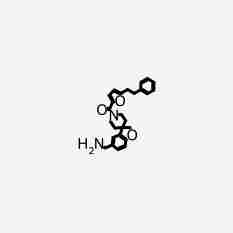 NCc1ccc2c(c1)C1(CCN(C(=O)c3ccc(CCc4ccccc4)o3)CC1)CO2